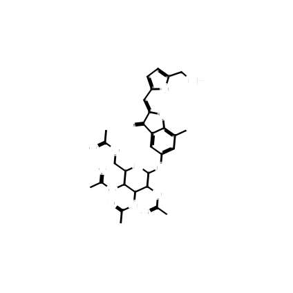 CC(=O)OCC1OC(Oc2cc(C)c3c(c2)C(=O)/C(=C/c2ccc(CO)o2)O3)C(OC(C)=O)C(OC(C)=O)C1OC(C)=O